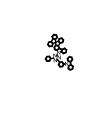 c1ccc(-c2nc(-c3cccc(-n4c5ccccc5c5ccccc54)c3)nc(-n3c4ccccc4c4c5c(ccc43)C3(c4ccccc4-c4ccccc43)c3ccccc3-5)n2)cc1